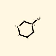 CC(=O)N1CCCOC1